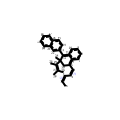 C/C=C\C=C/C1=c2ccccc2=C(c2ccc3ccccc3c2)C(C)(C(C)=C(C)C)C1